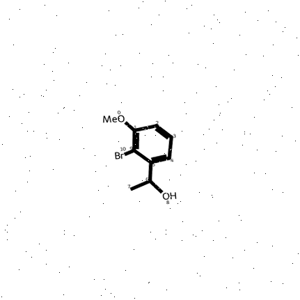 COc1cccc(C(C)O)c1Br